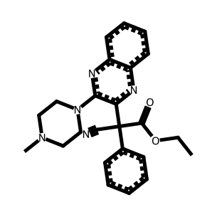 CCOC(=O)C(C#N)(c1ccccc1)c1nc2ccccc2nc1N1CCN(C)CC1